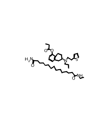 CCCN(CCc1cccs1)[C@@H]1CCc2c(cccc2OC(=O)CC)C1.CCNC(=O)CCCCCCCCCCCCCC(N)=O